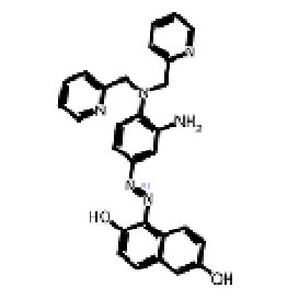 Nc1cc(/N=N/c2c(O)ccc3cc(O)ccc23)ccc1N(Cc1ccccn1)Cc1ccccn1